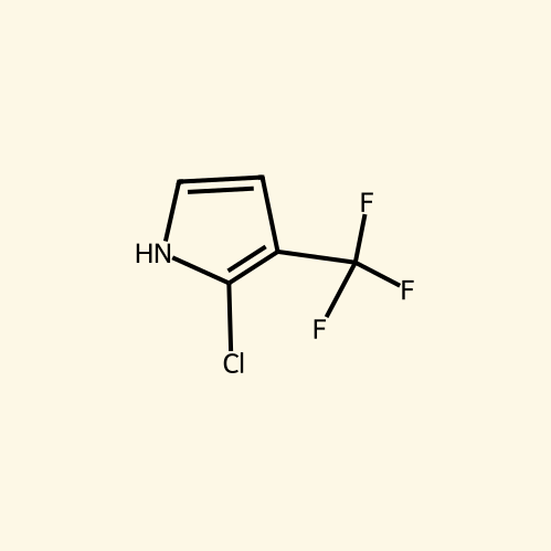 FC(F)(F)c1cc[nH]c1Cl